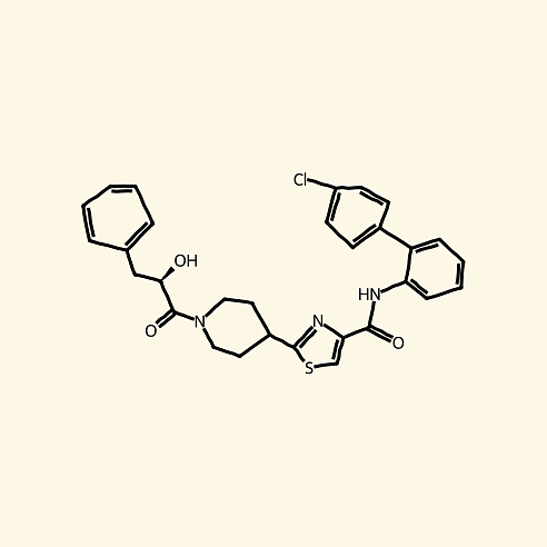 O=C(Nc1ccccc1-c1ccc(Cl)cc1)c1csc(C2CCN(C(=O)[C@H](O)Cc3ccccc3)CC2)n1